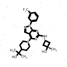 CC(C)(O)C1CCN(c2nc(N[C@H]3C[C@@](C)(O)C3)nc3c2cnn3-c2cccc(C(F)(F)F)c2)CC1